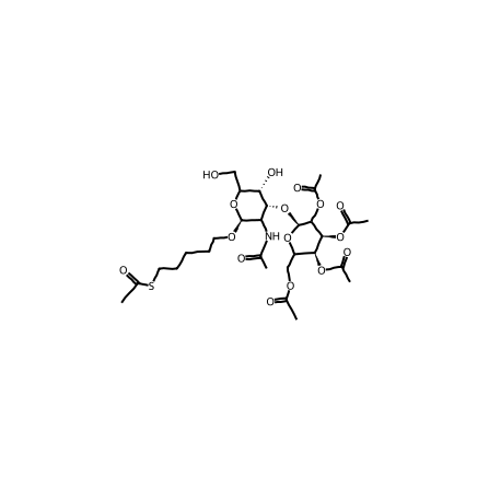 CC(=O)NC1[C@@H](OCCCCCSC(C)=O)OC(CO)[C@H](O)[C@@H]1O[C@@H]1OC(COC(C)=O)[C@H](OC(C)=O)[C@H](OC(C)=O)C1OC(C)=O